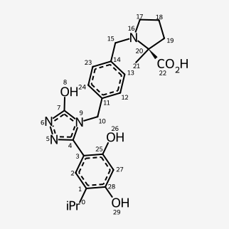 CC(C)c1cc(-c2nnc(O)n2Cc2ccc(CN3CCC[C@@]3(C)C(=O)O)cc2)c(O)cc1O